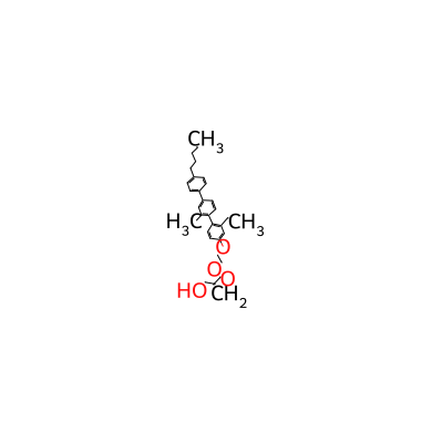 C=C(CO)C(=O)OCCOc1ccc(-c2ccc(-c3ccc(CCCCC)cc3)cc2C)c(CC)c1